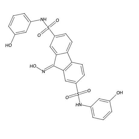 O=S(=O)(Nc1cccc(O)c1)c1ccc2c(c1)C(=NO)c1cc(S(=O)(=O)Nc3cccc(O)c3)ccc1-2